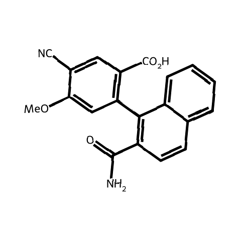 COc1cc(-c2c(C(N)=O)ccc3ccccc23)c(C(=O)O)cc1C#N